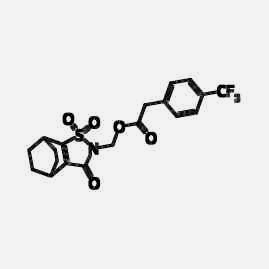 O=C(Cc1ccc(C(F)(F)F)cc1)OCN1C(=O)C2=C(C3CCC2CC3)S1(=O)=O